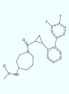 C[S+]([O-])NC1CCCN(C(=O)C2CC2c2ccccc2-c2ccc(F)c(F)c2)CC1